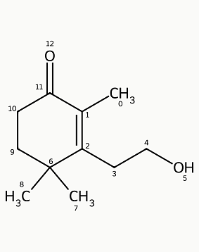 CC1=C(CCO)C(C)(C)CCC1=O